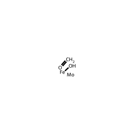 C=O.[Mo].[OH][Fe]